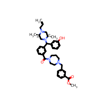 C=CCN1C[C@H](C)N(C(c2cccc(O)c2)c2cccc(C(=O)N3CCCN(Cc4cccc(C(=O)OC)c4)CC3)c2)C[C@H]1C